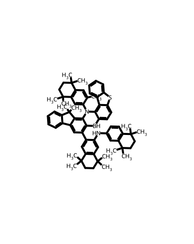 Cc1cc2c(cc1N1c3c(c(-c4cc5c(cc4Nc4ccc6c(c4)C(C)(C)CCC6(C)C)C(C)(C)CCC5(C)C)cc4c3C(C)(C)c3ccccc3-4)Bc3ccc4sc5ccccc5c4c31)C(C)(C)CCC2(C)C